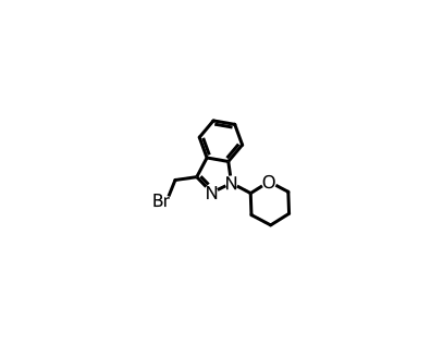 BrCc1nn(C2CCCCO2)c2ccccc12